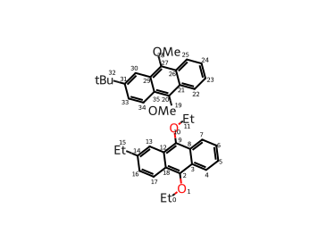 CCOc1c2ccccc2c(OCC)c2cc(CC)ccc12.COc1c2ccccc2c(OC)c2cc(C(C)(C)C)ccc12